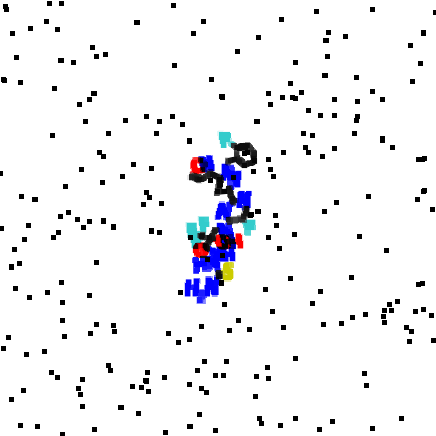 NC(=S)NNC(=O)C(O)(CNc1nc(-c2cc(-c3ccon3)n(Cc3ccccc3F)n2)ncc1F)C(F)(F)F